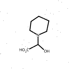 O=C(O)C(O)N1CCCCC1